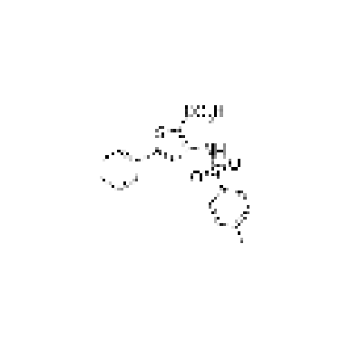 Cc1ccc(S(=O)(=O)Nc2cc(-c3ccccc3)sc2C(=O)O)cc1